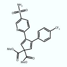 COC(=O)C1(C(=O)OC)C=C(c2ccc(C(F)(F)F)cc2)C(c2ccc(S(N)(=O)=O)cn2)=C1